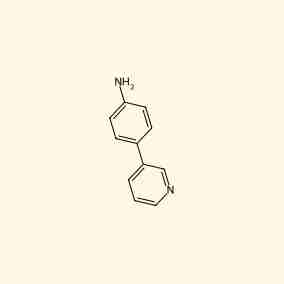 Nc1ccc(-c2cccnc2)cc1